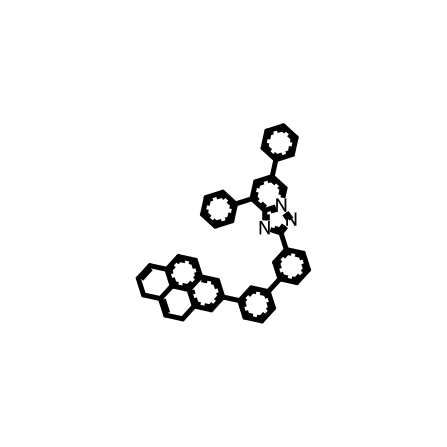 C1=Cc2ccc3cc(-c4cccc(-c5cccc(-c6nc7c(-c8ccccc8)cc(-c8ccccc8)cn7n6)c5)c4)cc4c3c2C(=CC4)C1